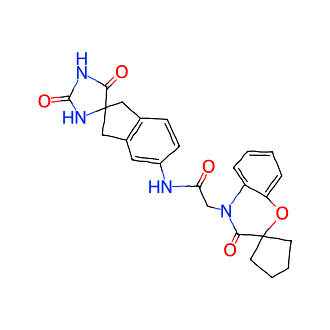 O=C(CN1C(=O)C2(CCCC2)Oc2ccccc21)Nc1ccc2c(c1)CC1(C2)NC(=O)NC1=O